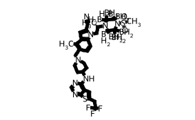 BC1(B)N([C@@H](C)Cn2c(C#N)cc3c(C)c(CN4CCC(Nc5ncnc6sc(CC(F)(F)F)cc56)CC4)ccc32)C(B)(B)C(B)(B)N(S(C)(=O)=O)C1(B)B